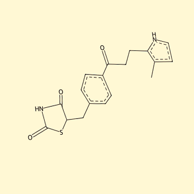 Cc1cc[nH]c1CCC(=O)c1ccc(CC2SC(=O)NC2=O)cc1